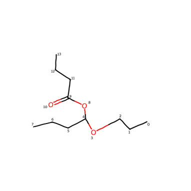 CCCOC(CCC)OC(=O)CCC